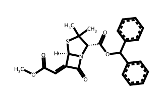 COC(=O)/C=C1/C(=O)N2[C@@H]1SC(C)(C)[C@@H]2C(=O)OC(c1ccccc1)c1ccccc1